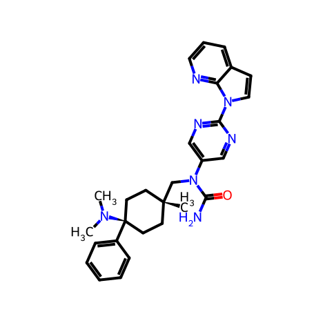 CN(C)[C@]1(c2ccccc2)CC[C@@](C)(CN(C(N)=O)c2cnc(-n3ccc4cccnc43)nc2)CC1